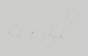 O=C(Cc1ccccc1Cl)Nc1cccc2c(=O)n(C(O)C3CCCCC3)ccc12